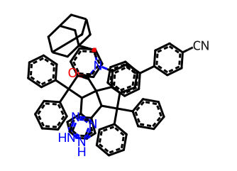 N#Cc1ccc(-c2ccc3c(c2)N(CC24CC5CC(CC(C5)C2)C4)C(=O)C3(C(c2c[nH]cn2)C(c2ccccc2)(c2ccccc2)c2ccccc2)C(c2c[nH]cn2)C(c2ccccc2)(c2ccccc2)c2ccccc2)cc1